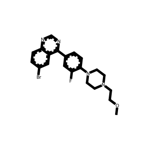 COCCN1CCN(c2ccc(-c3ncnc4ccc(Br)cc34)cc2F)CC1